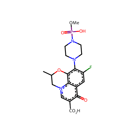 COP(=O)(O)N1CCN(c2c(F)cc3c(=O)c(C(=O)O)cn4c3c2OC(C)C4)CC1